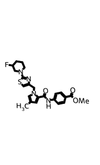 COC(=O)c1ccc(NC(=O)c2cc(C)cn2Cc2csc(N3CCCC(F)C3)n2)cc1